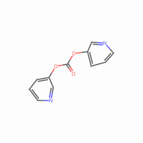 O=C(Oc1cccnc1)Oc1cccnc1